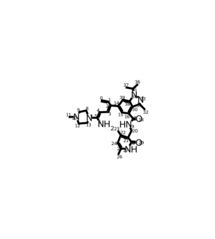 C=C/C(=C\C=C(/N)N1CCN(C)CC1)c1cc(C(=O)NCc2c(C)cc(C)[nH]c2=O)c2c(C)nn(C(C)C)c2c1